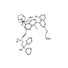 CCc1cccc2cc(OCOC)cc(-c3ncc4c(N5CC6CCC(C5)N6C(=O)OC(C)(C)C)nc(C#CC5(CO[Si](c6ccccc6)(c6ccccc6)C(C)(C)C)CC5)nc4c3F)c12